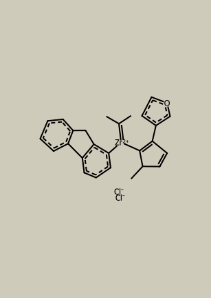 C[C](C)=[Zr+2]([C]1=C(c2ccoc2)C=CC1C)[c]1cccc2c1Cc1ccccc1-2.[Cl-].[Cl-]